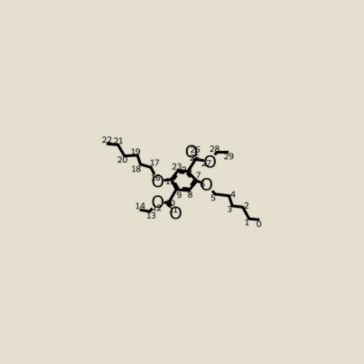 CCCCCCOc1cc(C(=O)OCC)c(OCCCCCC)cc1C(=O)OCC